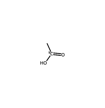 C[9C](=O)O